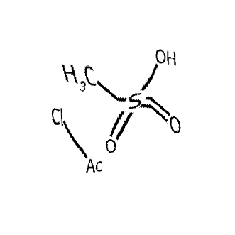 CC(=O)Cl.CS(=O)(=O)O